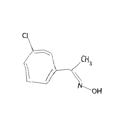 C/C(=N\O)c1cccc(Cl)c1